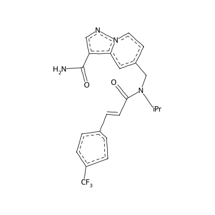 CC(C)N(Cc1ccn2ncc(C(N)=O)c2c1)C(=O)C=Cc1ccc(C(F)(F)F)cc1